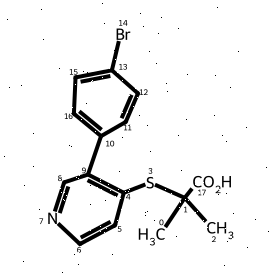 CC(C)(Sc1ccncc1-c1ccc(Br)cc1)C(=O)O